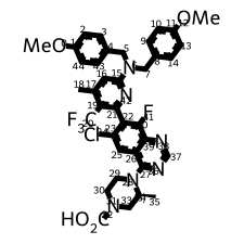 COc1ccc(CN(Cc2ccc(OC)cc2)c2cc(C)c(C(F)(F)F)c(-c3c(Cl)cc4c(N5CCN(C(=O)O)C[C@@H]5C)ncnc4c3F)n2)cc1